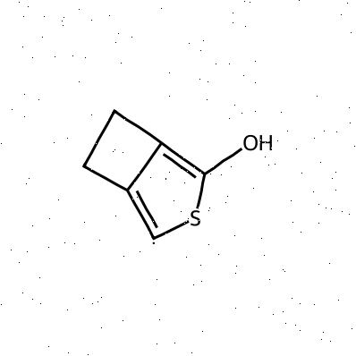 Oc1s[c]c2c1CC2